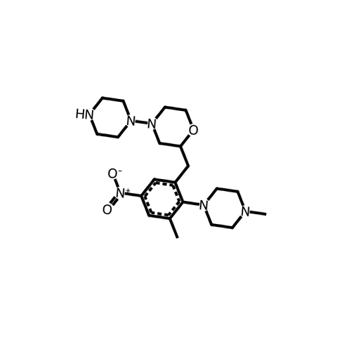 Cc1cc([N+](=O)[O-])cc(CC2CN(N3CCNCC3)CCO2)c1N1CCN(C)CC1